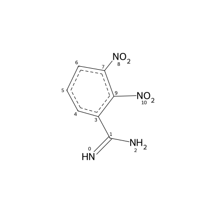 N=C(N)c1cccc([N+](=O)[O-])c1[N+](=O)[O-]